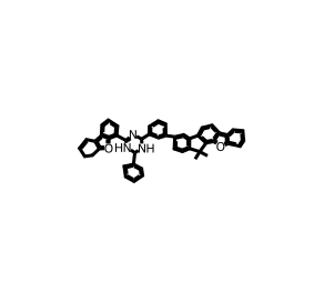 CC1(C)c2ccc(-c3cccc(C4N=C(c5cccc6c7c(oc56)CCC=C7)NC(c5ccccc5)N4)c3)cc2-c2ccc3c(oc4ccccc43)c21